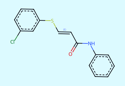 O=C(/C=C/Sc1cccc(Cl)c1)Nc1ccccc1